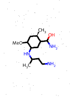 COC1C[C@@H](C)C(C(N)O)CC1NC(C)CCN